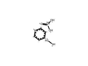 O=[PH](O)O.SS.c1ccncc1